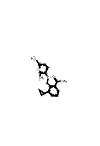 COC(=O)c1cccc(C2CC2)c1COc1ccc(C)cc1C